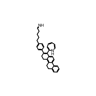 N=CCCCCc1ccc(C2=C(C3=CC=CC=CN3)c3ccc4c(c3CC2)CCc2ccccc2-4)cc1